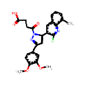 COc1ccc(C2=NN(C(=O)CCC(=O)O)C(c3cc4cccc(C)c4nc3Cl)C2)cc1OC